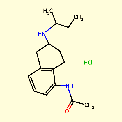 CCC(C)NC1CCc2c(cccc2NC(C)=O)C1.Cl